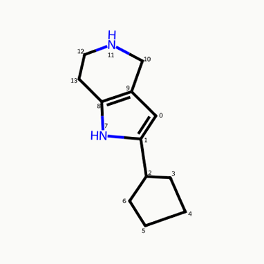 c1c(C2CCCC2)[nH]c2c1CNCC2